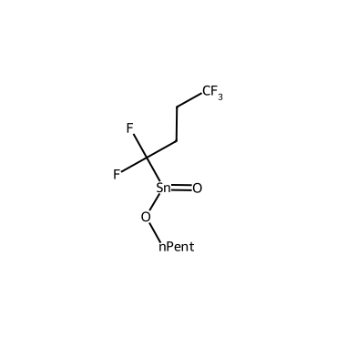 CCCCC[O][Sn](=[O])[C](F)(F)CCC(F)(F)F